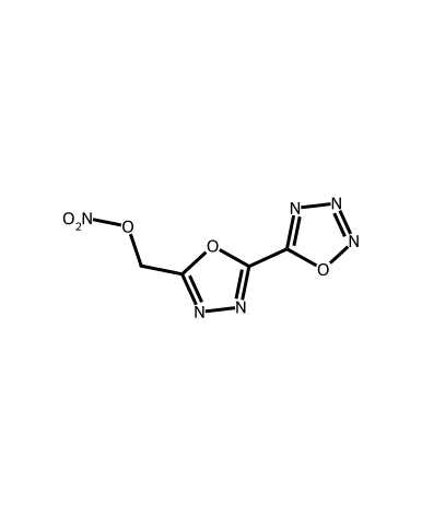 O=[N+]([O-])OCc1nnc(-c2nnno2)o1